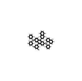 Cc1cc(C)cc(-c2c3ccc(N(c4ccccc4)c4cccc5ccccc45)cc3c(-c3ccc4ccccc4c3)c3ccc(N(c4ccccc4)c4ccccc4)cc23)c1